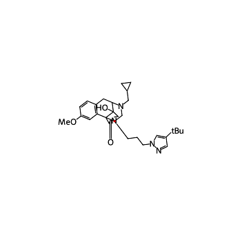 COc1ccc2c(c1)C13CCN(CC4CC4)C(C2)C1(O)CCN(CCCn1cc(C(C)(C)C)cn1)C(=O)C3